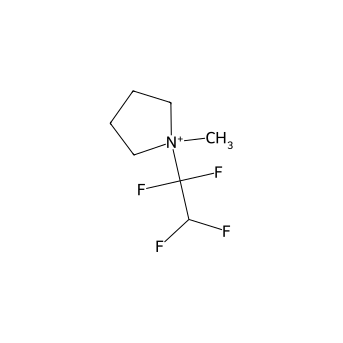 C[N+]1(C(F)(F)C(F)F)CCCC1